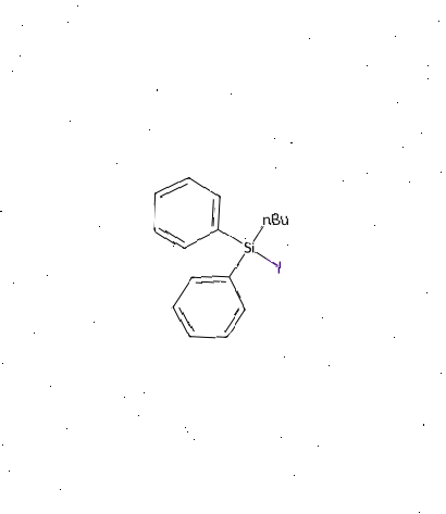 CCCC[Si](I)(c1ccccc1)c1ccccc1